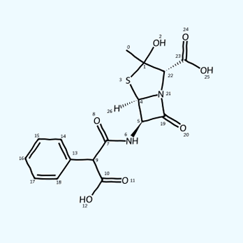 CC1(O)S[C@@H]2[C@H](NC(=O)C(C(=O)O)c3ccccc3)C(=O)N2[C@H]1C(=O)O